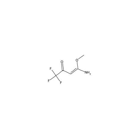 CO/C(N)=C\C(=O)C(F)(F)F